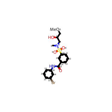 COCC(O)CN(C)S(=O)(=O)c1cccc(C(=O)Nc2cccc(Br)c2)c1